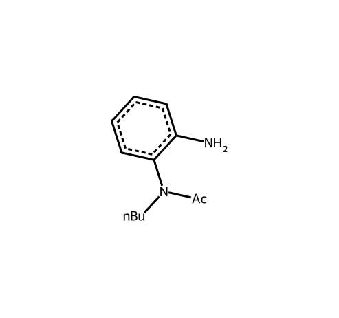 CCCCN(C(C)=O)c1ccccc1N